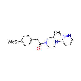 CSc1ccc(CC(=O)N2CCN(c3cccnn3)[C@H](C)C2)cc1